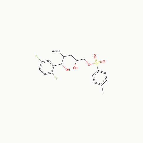 CC(=O)NC(CC(O)COS(=O)(=O)c1ccc(C)cc1)C(O)c1cc(F)ccc1F